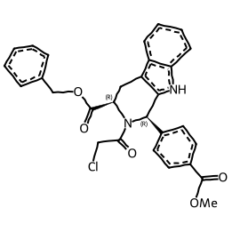 COC(=O)c1ccc([C@@H]2c3[nH]c4ccccc4c3C[C@H](C(=O)OCc3ccccc3)N2C(=O)CCl)cc1